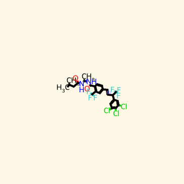 CC(C)CC(=O)N[C@@H](C)NC(=O)c1ccc(/C=C/C(c2cc(Cl)c(Cl)c(Cl)c2)C(F)(F)F)cc1C(F)(F)F